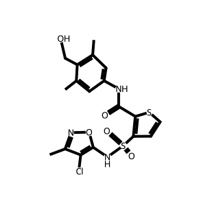 Cc1cc(NC(=O)c2sccc2S(=O)(=O)Nc2onc(C)c2Cl)cc(C)c1CO